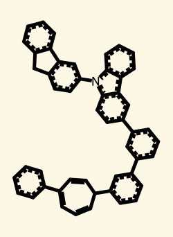 C1=CC(c2cccc(-c3cccc(-c4ccc5c(c4)c4ccccc4n5-c4ccc5c(c4)-c4ccccc4C5)c3)c2)C=CC(c2ccccc2)=C1